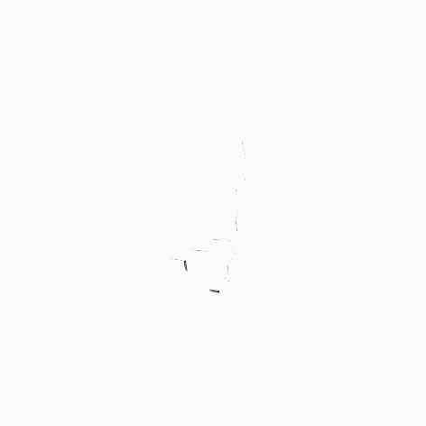 COCCOCCOCCN(CCNC(C)=O)CCNC(C)=O